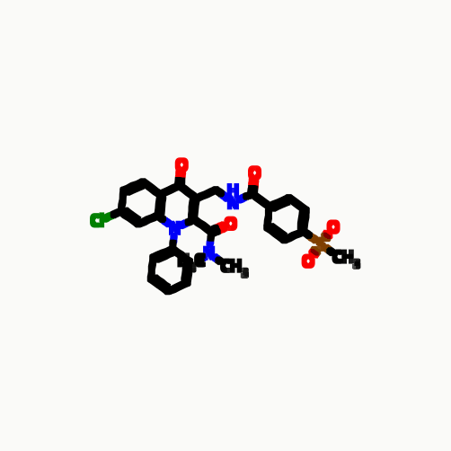 CN(C)C(=O)c1c(CNC(=O)c2ccc(S(C)(=O)=O)cc2)c(=O)c2ccc(Cl)cc2n1-c1ccccc1